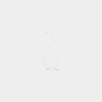 O=NO.c1cc[nH]c1